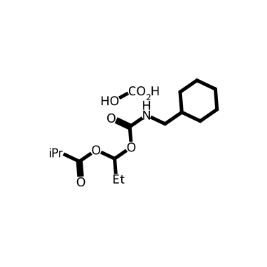 CCC(OC(=O)NCC1CCCCC1)OC(=O)C(C)C.O=C(O)O